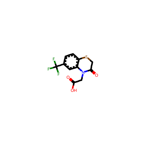 O=C(O)CN1C(=O)CSc2ccc(C(F)(F)F)cc21